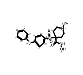 CC(C)N1CCC(C(=O)NO)(S(=O)(=O)c2ccc(Sc3ccccc3)cc2)CC1